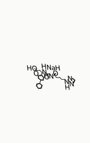 O=C(O)CC(NC(=O)CNC(=O)CCCCNc1ncccn1)c1ccc(-c2ccccc2)cc1.[NaH]